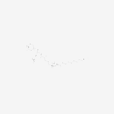 CCCCCCCCCCCCC(C)(C)CCCCCOC(OCC(C)C)OC1CCNCC1